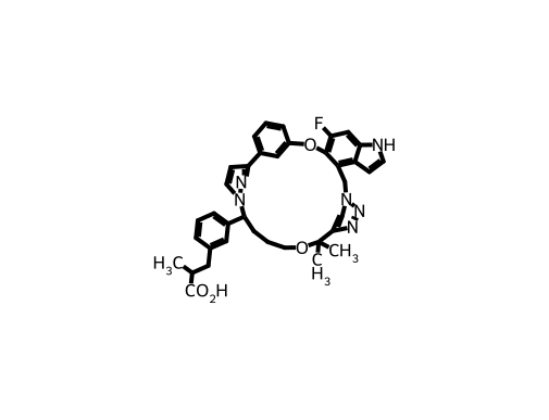 CC(Cc1cccc(C2CCCOC(C)(C)c3cn(nn3)Cc3c(c(F)cc4[nH]ccc34)Oc3cccc(c3)-c3ccn2n3)c1)C(=O)O